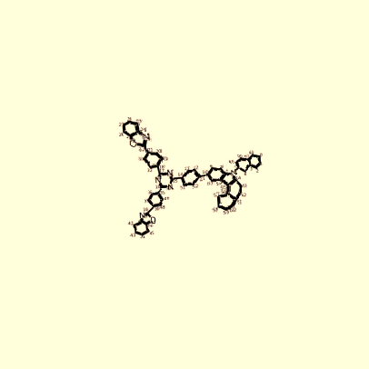 c1ccc2cc(-n3c4ccc(-c5ccc(-c6nc(-c7ccc(-c8nc9ccccc9o8)cc7)nc(-c7ccc(-c8nc9ccccc9o8)cc7)n6)cc5)cc4c4c5ccccc5ccc43)ccc2c1